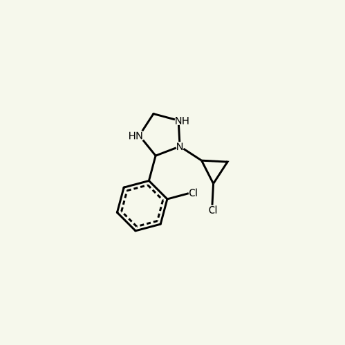 Clc1ccccc1C1NCNN1C1CC1Cl